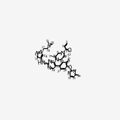 C=CC(=O)N1C[C@H](C)N(c2nc(Nc3cnn(CCN(C)C)c3)ncc2-c2ccc(Oc3nccc(C)n3)c(F)c2)C[C@H]1C